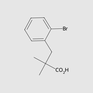 CC(C)(Cc1ccccc1Br)C(=O)O